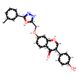 Cc1cccc(-c2nnc(COc3ccc4c(=O)c(-c5ccc(O)cc5)coc4c3)o2)c1